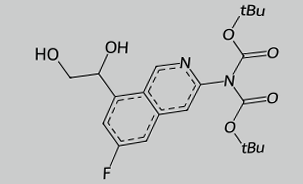 CC(C)(C)OC(=O)N(C(=O)OC(C)(C)C)c1cc2cc(F)cc(C(O)CO)c2cn1